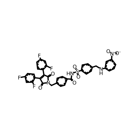 O=C(NS(=O)(=O)c1ccc(CNc2cccc([N+](=O)[O-])c2)cc1)c1ccc(CN2C(=O)C(c3ccc(F)cc3F)=C(c3ccc(F)cc3F)C2=O)cc1